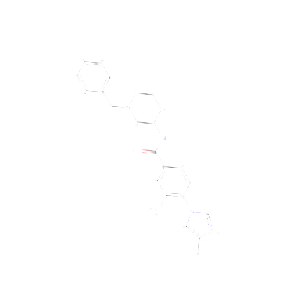 COc1cc(C(=O)NC2CCCN(Cc3ccccc3)C2)ccc1-n1cnc(C)c1